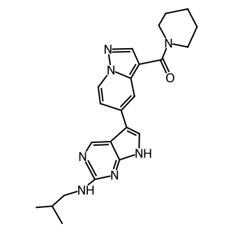 CC(C)CNc1ncc2c(-c3ccn4ncc(C(=O)N5CCCCC5)c4c3)c[nH]c2n1